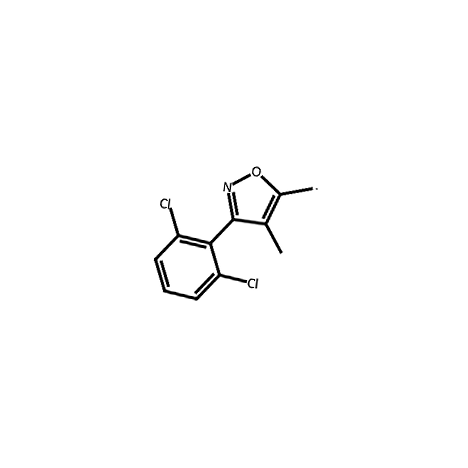 [CH2]c1onc(-c2c(Cl)cccc2Cl)c1C